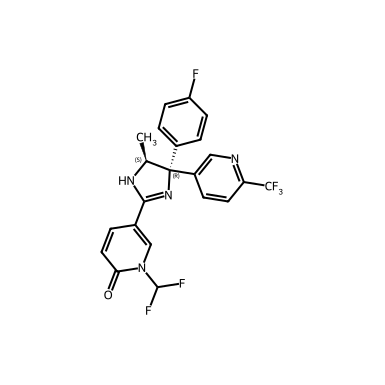 C[C@@H]1NC(c2ccc(=O)n(C(F)F)c2)=N[C@]1(c1ccc(F)cc1)c1ccc(C(F)(F)F)nc1